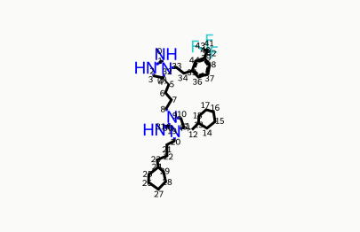 N=C1NC[C@H](CCCCN2C[C@H](CC3CCCCC3)N(CCCCC3CCCCC3)C2=N)N1CCc1cccc(C(F)(F)F)c1